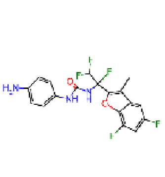 Cc1c(C(F)(NC(=O)Nc2ccc(N)cc2)C(F)F)oc2c(F)cc(F)cc12